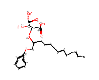 CCCCCCCCCC(COc1ccccc1)OC(C(=O)O)C(O)C(=O)O